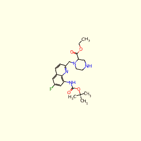 CCOC(=O)C1CNCCN1Cc1ccc2cc(F)cc(NC(=O)OC(C)(C)C)c2n1